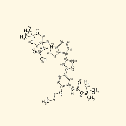 CCCOc1ccc(-c2nc(-c3cccc4c3CCN4CC3(NC(=O)O)COC(C)(C)OC3)no2)cc1NC(=O)OC(C)(C)C